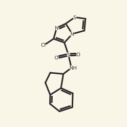 O=S(=O)(NC1CCc2ccccc21)c1c(Cl)nc2sccn12